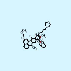 CCc1cccc2cc(OCOC)cc(-c3c(F)cc4c(N5CC6CCC(C5)N6C(=O)OC(C)(C)C)nc(OCCCN5CCOCC5)nc4c3F)c12